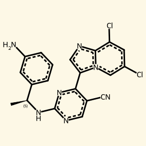 C[C@H](Nc1ncc(C#N)c(-c2cnc3c(Cl)cc(Cl)cn23)n1)c1cccc(N)c1